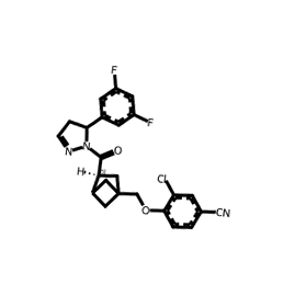 N#Cc1ccc(OCC23CC(C2)[C@@H](C(=O)N2N=CCC2c2cc(F)cc(F)c2)C3)c(Cl)c1